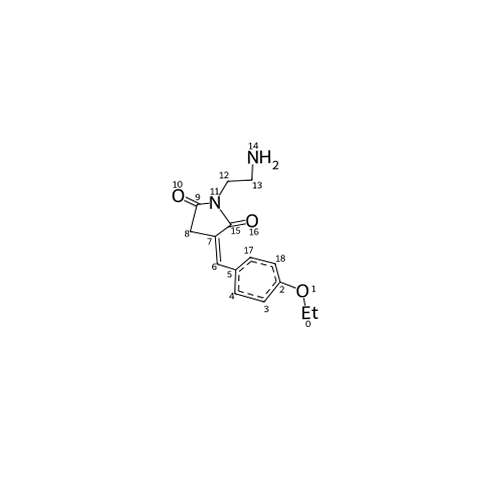 CCOc1ccc(C=C2CC(=O)N(CCN)C2=O)cc1